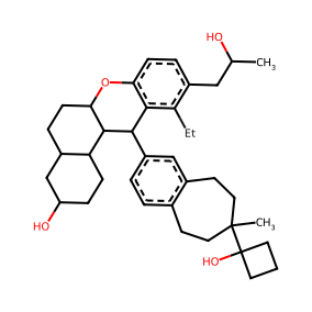 CCc1c(CC(C)O)ccc2c1C(c1ccc3c(c1)CCC(C)(C1(O)CCC1)CC3)C1C(CCC3CC(O)CCC31)O2